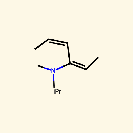 C/C=C\C(=C/C)N(C)C(C)C